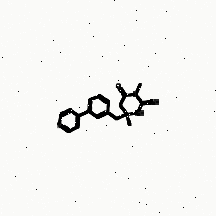 CN1C(=N)N[C@](C)(Cc2cccc(-c3ccncc3)c2)CC1=O